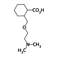 CN(C)CCOCC1CCCCC1C(=O)O